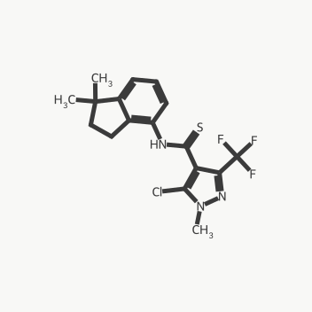 Cn1nc(C(F)(F)F)c(C(=S)Nc2cccc3c2CCC3(C)C)c1Cl